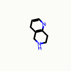 C1=C[N]C2=C(C1)CNCC2